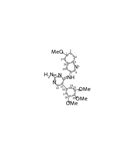 COc1ccc2ncc(Nc3nc(N)ncc3-c3cc(OC)c(OC)c(OC)c3)cc2c1